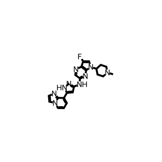 CN1CCC(n2cc(F)c3ncc(Nc4cc(-c5cccn6ccnc56)[nH]n4)nc32)CC1